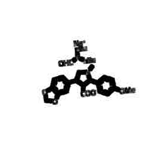 CCCCN(C=O)CCCC.COc1ccc(C2C(C(=O)[O-])C(c3ccc4c(c3)OCO4)CN2C)cc1.[Na+]